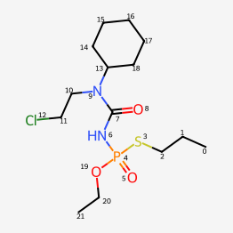 CCCSP(=O)(NC(=O)N(CCCl)C1CCCCC1)OCC